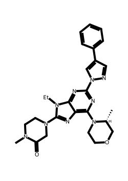 CCn1c(N2CCN(C)C(=O)C2)nc2c(N3CCOC[C@H]3C)nc(-n3cc(-c4ccccc4)cn3)nc21